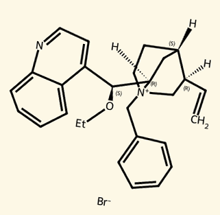 C=C[C@H]1C[N+]2(Cc3ccccc3)CC[C@H]1C[C@@H]2[C@@H](OCC)c1ccnc2ccccc12.[Br-]